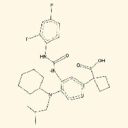 CC(C)CN(c1ccc(C2(C(=O)O)CCC2)cc1NC(=O)Nc1ccc(F)cc1F)C1CCCCC1